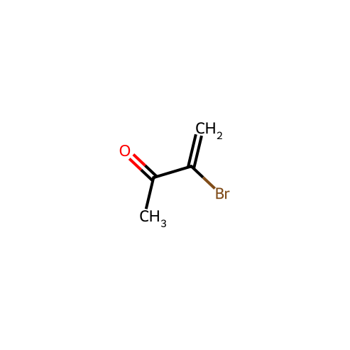 C=C(Br)C(C)=O